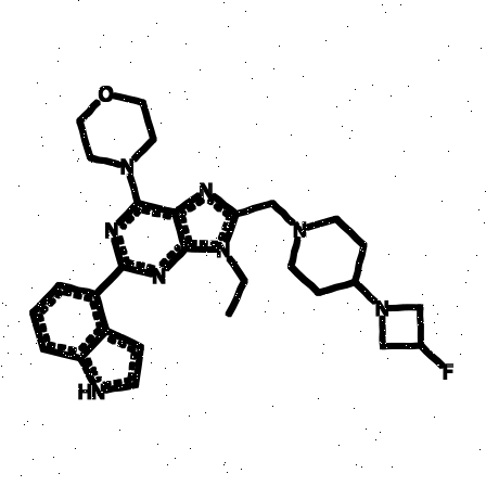 CCn1c(CN2CCC(N3CC(F)C3)CC2)nc2c(N3CCOCC3)nc(-c3cccc4[nH]ccc34)nc21